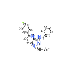 CC(=O)Nc1nc(NCc2ccccc2)c2nc(-c3ccc(F)cc3)ccc2n1